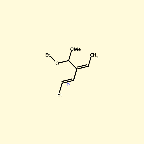 CC=C(/C=C/CC)C(OC)OCC